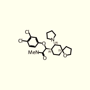 CNC(=O)C(Oc1ccc(Cl)c(Cl)c1)[C@@H]1CC[C@]2(CCCO2)C[C@H]1N1CCCC1